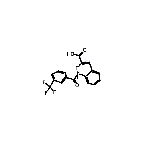 O=C(O)/C(F)=C/c1ccccc1NC(=O)c1cccc(C(F)(F)F)c1